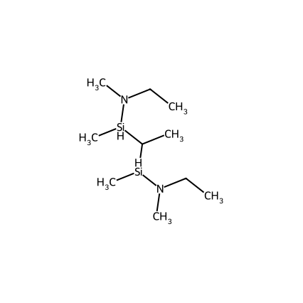 CCN(C)[SiH](C)C(C)[SiH](C)N(C)CC